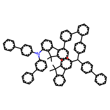 CC1(C)c2ccccc2-c2cc(C(c3ccc(-c4ccccc4)cc3)c3ccc(-c4ccccc4-c4cccc(-c5cccc6c5-c5cccc(N(c7ccc(-c8ccccc8)cc7)c7cccc(-c8ccccc8)c7)c5C6(C)C)c4)cc3)ccc21